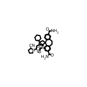 C[C@H](CC1(c2nc(=O)on2C2CCCCC2)c2ccc(C(N)=O)cc2CCc2cc(C(N)=O)ccc21)NCC(=O)N1CCC[C@H]1C#N